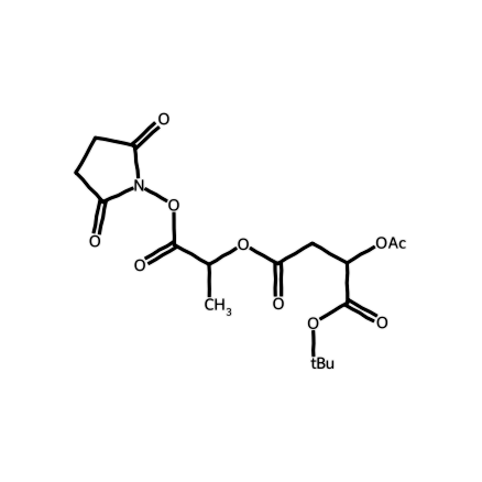 CC(=O)OC(CC(=O)OC(C)C(=O)ON1C(=O)CCC1=O)C(=O)OC(C)(C)C